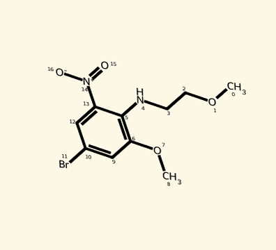 COCCNc1c(OC)cc(Br)cc1[N+](=O)[O-]